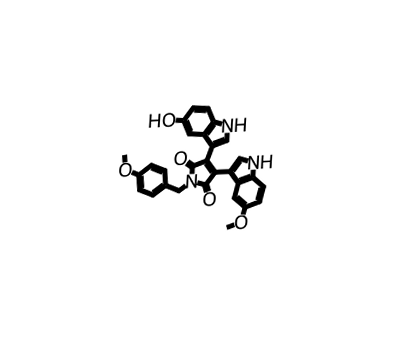 COc1ccc(CN2C(=O)C(c3c[nH]c4ccc(O)cc34)=C(c3c[nH]c4ccc(OC)cc34)C2=O)cc1